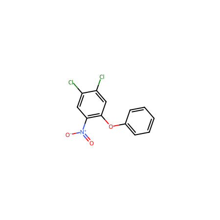 O=[N+]([O-])c1cc(Cl)c(Cl)cc1Oc1ccccc1